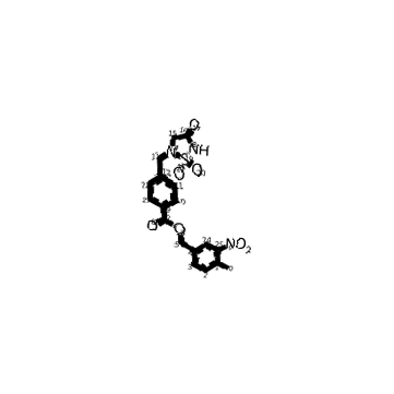 Cc1ccc(COC(=O)c2ccc(CN3CC(=O)NS3(=O)=O)cc2)cc1[N+](=O)[O-]